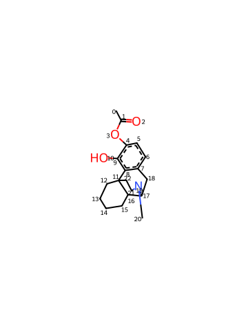 CC(=O)Oc1ccc2c(c1O)C13CCCCC1C(C2)N(C)CC3